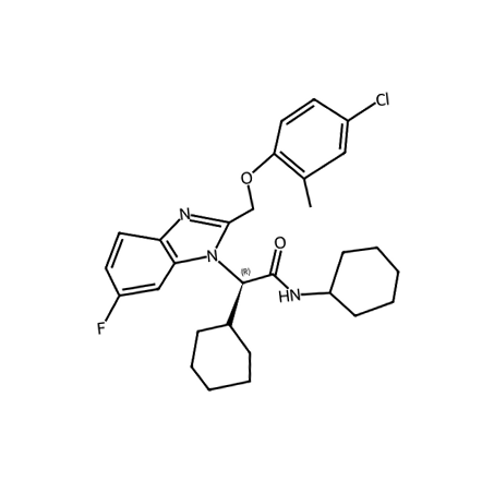 Cc1cc(Cl)ccc1OCc1nc2ccc(F)cc2n1[C@@H](C(=O)NC1CCCCC1)C1CCCCC1